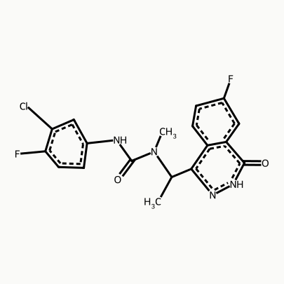 CC(c1n[nH]c(=O)c2cc(F)ccc12)N(C)C(=O)Nc1ccc(F)c(Cl)c1